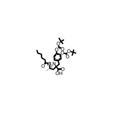 CCCCCC(=O)O[C@@H](C)CC(N)(Cc1ccc(OC(=O)OC(C)(C)C)c(OC(=O)OC(C)(C)C)c1)C(=O)O